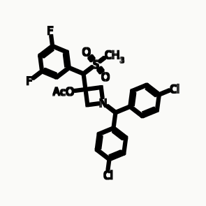 CC(=O)OC1(C(c2cc(F)cc(F)c2)S(C)(=O)=O)CN(C(c2ccc(Cl)cc2)c2ccc(Cl)cc2)C1